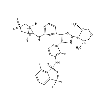 C[C@H]1COC[C@H](C)N1c1nc(-c2cccc(NS(=O)(=O)c3c(F)cccc3C(F)(F)F)c2F)c(-c2ccnc(NC3[C@H]4CS(=O)(=O)C[C@@H]34)n2)s1